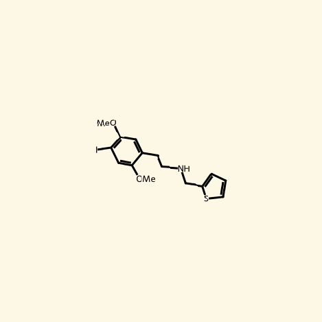 COc1cc(CCNCc2cccs2)c(OC)cc1I